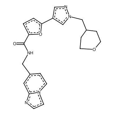 O=C(NCc1ccn2ccnc2c1)c1ccc(-c2cnn(CC3CCOCC3)c2)o1